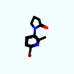 Cc1nc(Br)ccc1N1CC[CH]C1=O